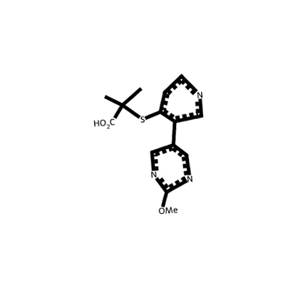 COc1ncc(-c2cnccc2SC(C)(C)C(=O)O)cn1